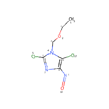 CCOCn1c(Cl)nc(N=O)c1Cl